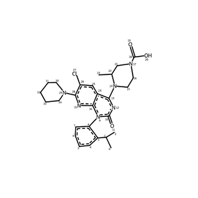 CC(C)c1ccccc1-n1c(=O)nc(N2CCN(C(=O)O)CC2C)c2cc(Cl)c(N3CCCCC3)nc21